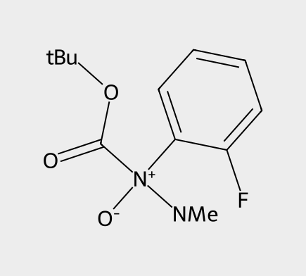 CN[N+]([O-])(C(=O)OC(C)(C)C)c1ccccc1F